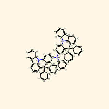 C1=CCCC(C2(C3C=CC=CC3)c3cc(N(c4ccccc4)c4ccc5c(c4)C(c4ccccc4)(c4ccccc4)c4cccc6c7ccccc7n-5c46)ccc3-n3c4ccccc4c4cccc2c43)=C1